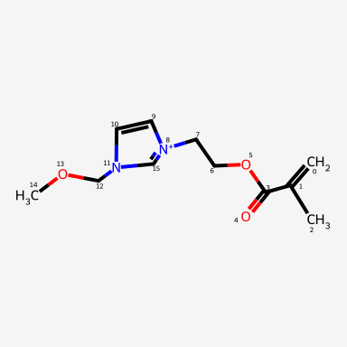 C=C(C)C(=O)OCC[n+]1ccn(COC)c1